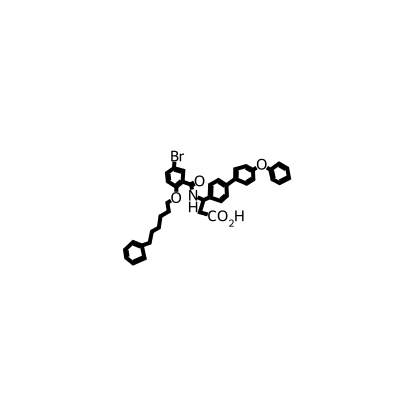 O=C(O)CC(NC(=O)c1cc(Br)ccc1OCCCCCCc1ccccc1)c1ccc(-c2ccc(Oc3ccccc3)cc2)cc1